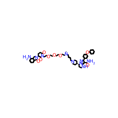 CN(C/C=C/CN1CCC([C@@H]2CCNc3c(C(N)=O)c(-c4ccc(Oc5ccccc5)cc4)nn32)CC1)CCOCCOCCOCCN1C(=O)CCC(N2Cc3c(N)cccc3C2=O)C1=O